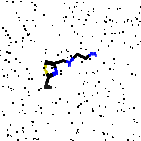 CSc1nc(CNCCN)cs1